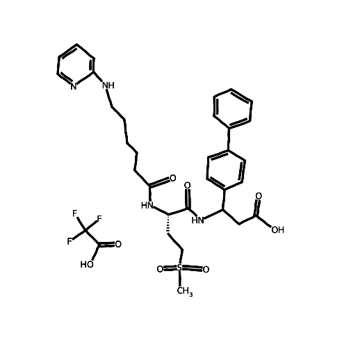 CS(=O)(=O)CC[C@H](NC(=O)CCCCCNc1ccccn1)C(=O)NC(CC(=O)O)c1ccc(-c2ccccc2)cc1.O=C(O)C(F)(F)F